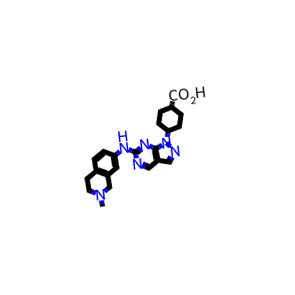 CN1CCc2ccc(Nc3ncc4cnn(C5CCC(C(=O)O)CC5)c4n3)cc2C1